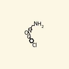 NCCC1CN(C(=O)COc2ccc(Cl)cc2)C1